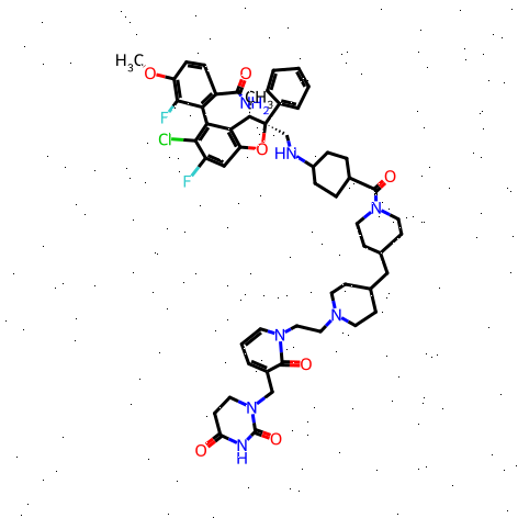 COc1ccc(C(N)=O)c(-c2c(Cl)c(F)cc3c2[C@H](C)[C@@](CNC2CCC(C(=O)N4CCC(CC5CCN(CCn6cccc(CN7CCC(=O)NC7=O)c6=O)CC5)CC4)CC2)(c2ccccc2)O3)c1F